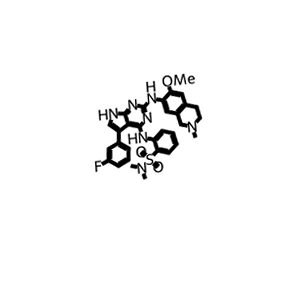 COc1cc2c(cc1Nc1nc(Nc3ccccc3S(=O)(=O)N(C)C)c3c(-c4cccc(F)c4)c[nH]c3n1)CN(C)CC2